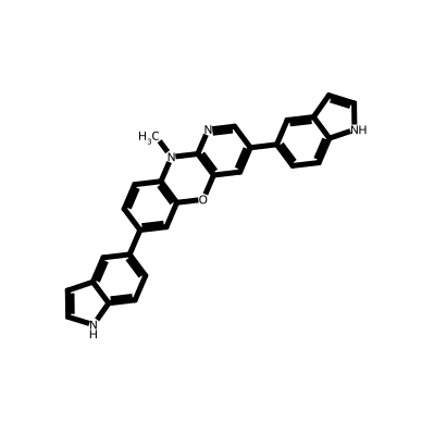 CN1c2ccc(-c3ccc4[nH]ccc4c3)cc2Oc2cc(-c3ccc4[nH]ccc4c3)cnc21